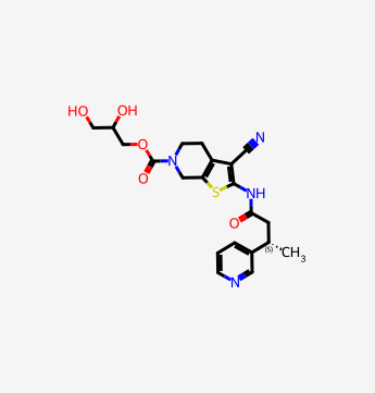 C[C@@H](CC(=O)Nc1sc2c(c1C#N)CCN(C(=O)OCC(O)CO)C2)c1cccnc1